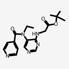 CCN(C(=O)c1ccncc1)c1cncnc1NCC(=O)OC(C)(C)C